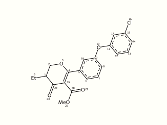 CCC1COC(c2cccc(Oc3cccc(Cl)c3)c2)=C(C(=O)OC)C1=O